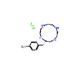 Cl.Cl.Cl.O=[N+]([O-])c1ccc(C[C@H]2CNCCNCCNCCN2)cc1